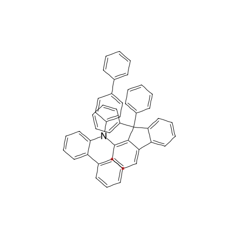 c1ccc(-c2ccc(N(c3ccccc3-c3ccccc3)c3cccc4c3C(c3ccccc3)(c3ccccc3)c3ccccc3-4)cc2)cc1